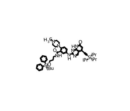 CC(C)[Si](C#Cc1cc(=O)[nH]c2nc(Nc3ccc(N4CCN(C)CC4)c(C(=O)NCCCO[Si](c4ccccc4)(c4ccccc4)C(C)(C)C)c3)ncc12)(C(C)C)C(C)C